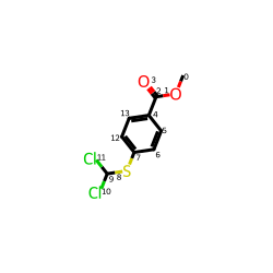 COC(=O)c1ccc(SC(Cl)Cl)cc1